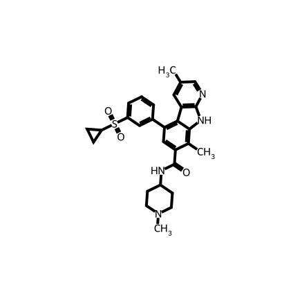 Cc1cnc2[nH]c3c(C)c(C(=O)NC4CCN(C)CC4)cc(-c4cccc(S(=O)(=O)C5CC5)c4)c3c2c1